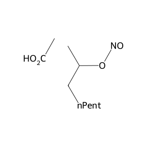 CC(=O)O.CCCCCCC(C)ON=O